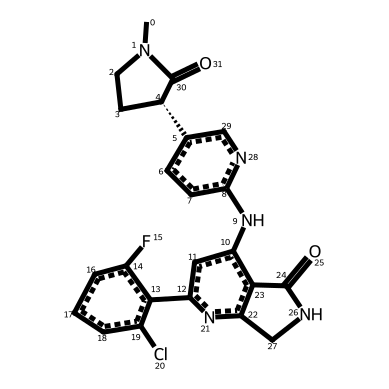 CN1CC[C@@H](c2ccc(Nc3cc(-c4c(F)cccc4Cl)nc4c3C(=O)NC4)nc2)C1=O